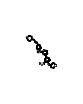 Nc1cc(-c2ccnc(Nc3ccc(/C=C/CN4CCOCC4)cc3)n2)ccc1OC1CCOCC1